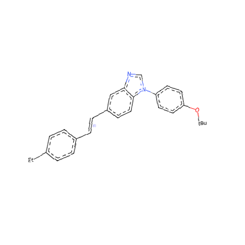 CCc1ccc(/C=C/c2ccc3c(c2)ncn3-c2ccc(OC(C)(C)C)cc2)cc1